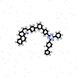 c1ccc(-c2ccc(-c3nc(-c4ccccc4)nc(-c4ccc(-c5cccc(-c6ccc(-c7ccc8ccc9c%10ccccc%10ccc9c8n7)cc6)c5)cc4)n3)cc2)cc1